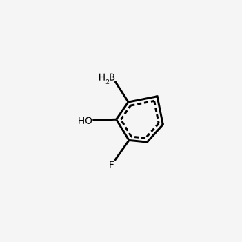 Bc1cccc(F)c1O